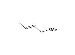 [CH2]C=CCSC